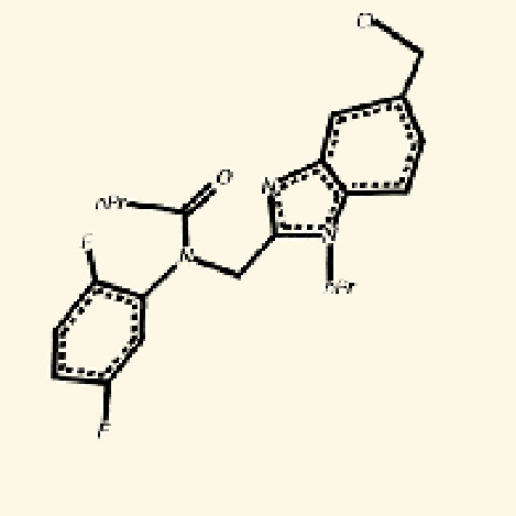 CCCC(=O)N(Cc1nc2cc(CCl)ccc2n1CCC)c1cc(F)ccc1F